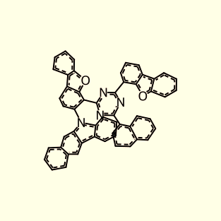 c1ccc2cc3c(cc2c1)c1ccccc1n3-c1ccc2c(oc3ccccc32)c1-c1nc(-c2cccc3ccccc23)nc(-c2cccc3c2oc2ccccc23)n1